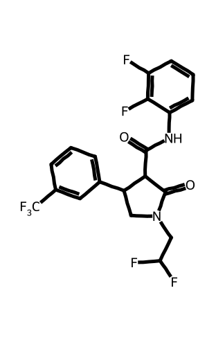 O=C(Nc1cccc(F)c1F)C1C(=O)N(CC(F)F)CC1c1cccc(C(F)(F)F)c1